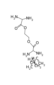 C=C.C=C.C=C.NC(N)C(=O)OCCOC(=O)C(N)N